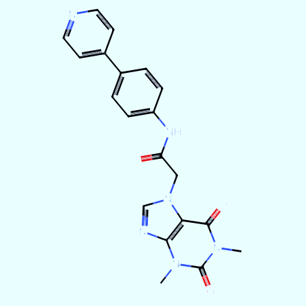 Cn1c(=O)c2c(ncn2CC(=O)Nc2ccc(-c3ccncc3)cc2)n(C)c1=O